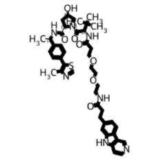 Cc1ncsc1-c1ccc([C@H](C)NC(=O)[C@@H]2C[C@@H](O)CN2C(=O)[C@@H](NC(=O)CCOCCOCCNC(=O)CCc2ccc3c(c2)[nH]c2ccncc23)C(C)(C)C)cc1